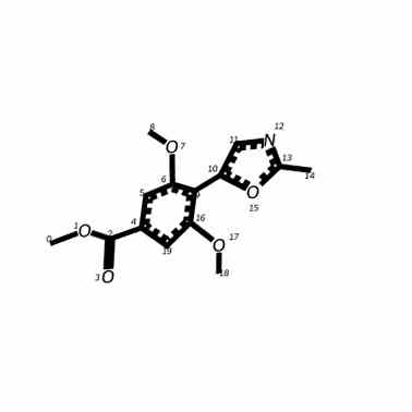 COC(=O)c1cc(OC)c(-c2cnc(C)o2)c(OC)c1